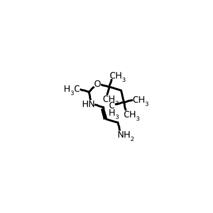 CC(NC=CCN)OC(C)(C)CC(C)(C)C